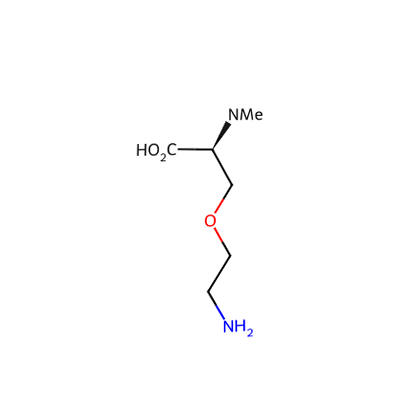 CN[C@@H](COCCN)C(=O)O